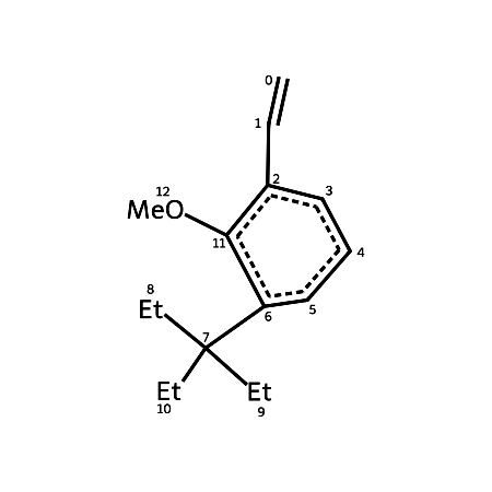 C=Cc1cccc(C(CC)(CC)CC)c1OC